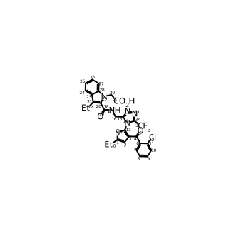 CCc1cc(C(=O)c2ccccc2Cl)c(-n2c(CNC(=O)c3c(CC)c4ccccc4n3CC(=O)O)nnc2C(F)(F)F)s1